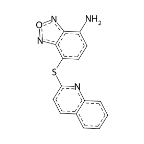 Nc1ccc(Sc2ccc3ccccc3n2)c2nonc12